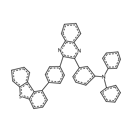 c1ccc(N(c2ccccc2)c2cccc(-c3nc4ccccc4nc3-c3ccc(-c4cccc5sc6ccccc6c45)cc3)c2)cc1